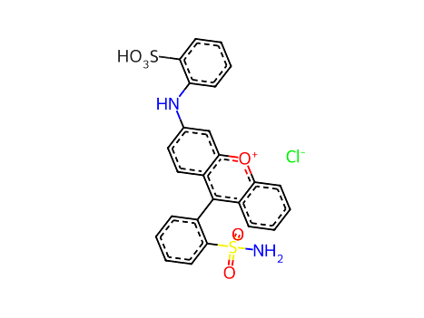 NS(=O)(=O)c1ccccc1-c1c2ccccc2[o+]c2cc(Nc3ccccc3S(=O)(=O)O)ccc12.[Cl-]